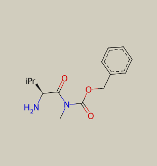 CC(C)[C@H](N)C(=O)N(C)C(=O)OCc1ccccc1